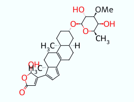 CO[C@H]1[C@@H](O)[C@@H](C)O[C@@H](O[C@H]2CC[C@]3(C)C4=C(CC[C@@H]3C2)C2=CC=C(C3=CC(=O)OC3O)[C@@]2(C)CC4)[C@@H]1O